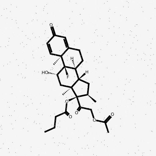 CCCC(=O)O[C@]1(C(=O)COC(C)=O)[C@H](C)C[C@H]2[C@@H]3CCC4=CC(=O)C=C[C@]4(C)[C@@]3(F)[C@@H](O)C[C@@]21C